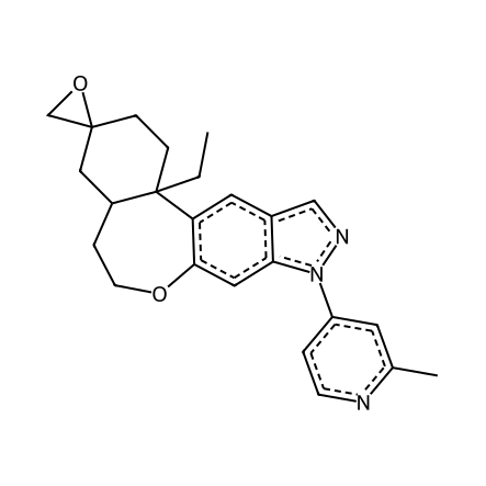 CCC12CCC3(CO3)CC1CCOc1cc3c(cnn3-c3ccnc(C)c3)cc12